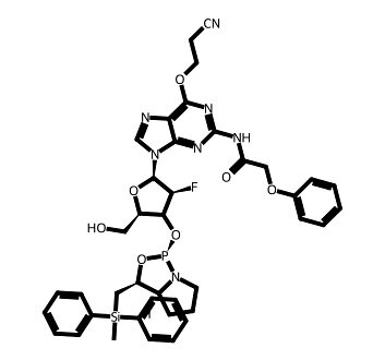 C[Si](C[C@H]1O[P@@](OC2[C@@H](CO)O[C@@H](n3cnc4c(OCCC#N)nc(NC(=O)COc5ccccc5)nc43)[C@H]2F)N2CCC[C@@H]12)(c1ccccc1)c1ccccc1